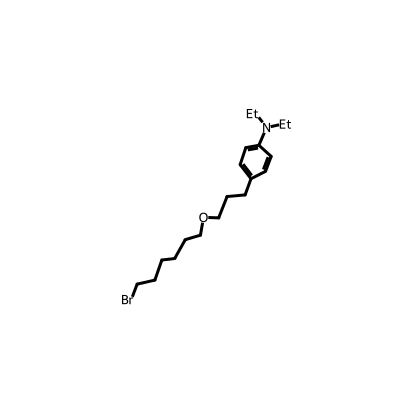 CCN(CC)c1ccc(CCCOCCCCCCBr)cc1